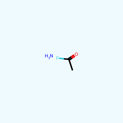 CC(=O)F.N